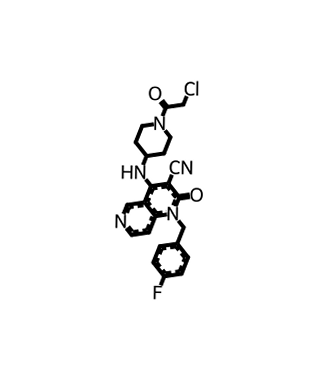 N#Cc1c(NC2CCN(C(=O)CCl)CC2)c2cnccc2n(Cc2ccc(F)cc2)c1=O